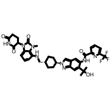 Cn1c(=O)n(C2CCC(=O)NC2=O)c2cccc(NC[C@H]3CC[C@H](n4cc5cc(NC(=O)c6cccc(C(F)(F)F)n6)c(C(C)(C)O)cc5n4)CC3)c21